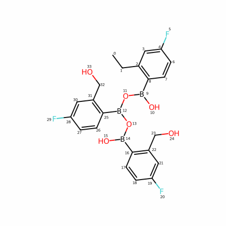 CCc1cc(F)ccc1B(O)OB(OB(O)c1ccc(F)cc1CO)c1ccc(F)cc1CO